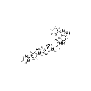 O=C(Nc1ccc2[nH]nc(-c3ccccc3)c2c1)[C@@H]1CCN(CC(=O)N2C[C@@H]3C[C@H]2CN3c2ccc(-c3ncccn3)cc2)C1